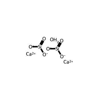 O.O=[Si]([O-])[O-].O=[Si]([O-])[O-].[Ca+2].[Ca+2]